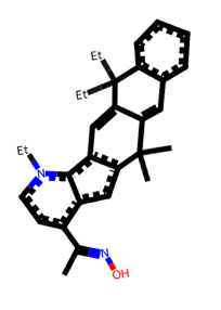 CCn1ccc(C(C)=NO)c2cc3c(c1-2)C=C1C(=Cc2ccccc2C1(CC)CC)C3(C)C